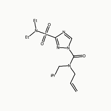 C=CCN(CC(C)C)C(=O)n1cnc(S(=O)(=O)N(CC)CC)n1